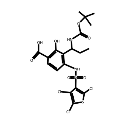 CCC(NC(=O)OC(C)(C)C)c1c(NS(=O)(=O)c2c(Cl)sc(Cl)c2Cl)ccc(C(=O)O)c1O